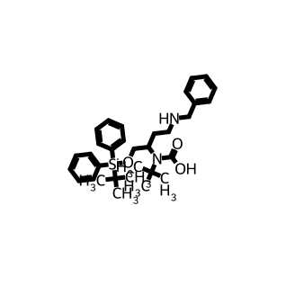 CC(C)(C)N(C(=O)O)C(CCNCc1ccccc1)CO[Si](c1ccccc1)(c1ccccc1)C(C)(C)C